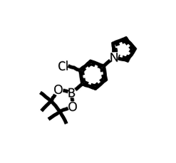 CC1(C)OB(c2ccc(-n3cccc3)cc2Cl)OC1(C)C